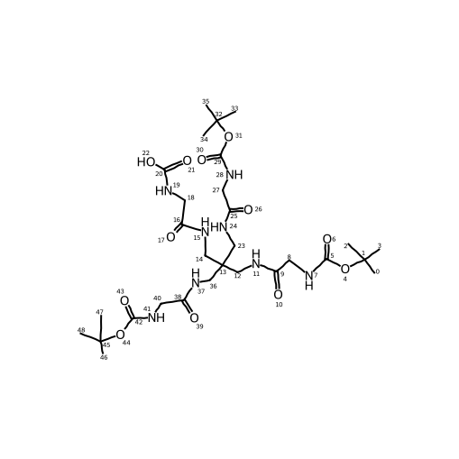 CC(C)(C)OC(=O)NCC(=O)NCC(CNC(=O)CNC(=O)O)(CNC(=O)CNC(=O)OC(C)(C)C)CNC(=O)CNC(=O)OC(C)(C)C